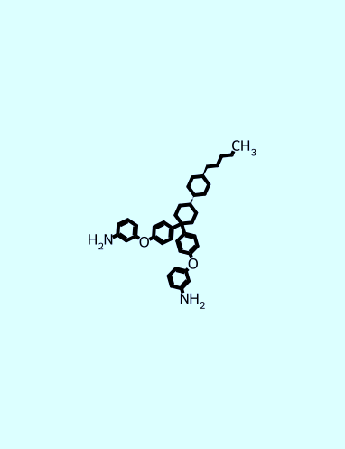 CCCCC[C@H]1CC[C@H](C2CCC(c3ccc(Oc4cccc(N)c4)cc3)(c3ccc(Oc4cccc(N)c4)cc3)CC2)CC1